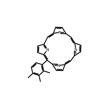 Cc1ccc(C2=C3C=CC(=N3)C=C3C=CC(=N3)C=C3C=CC(=N3)C=C3C=CC2=N3)c(C)c1C